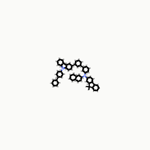 CC1(C)c2ccccc2-c2ccc(N(c3cccc(-c4cccc(-c5ccc6c(c5)c5ccccc5n6-c5ccc(-c6ccccc6)cc5)c4)c3)c3ccc4ccccc4c3)cc21